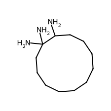 NC1CCCCCCCCCCC1(N)N